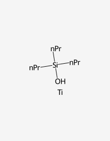 CCC[Si](O)(CCC)CCC.[Ti]